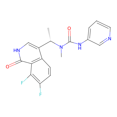 C[C@@H](c1c[nH]c(=O)c2c(F)c(F)ccc12)N(C)C(=O)Nc1cccnc1